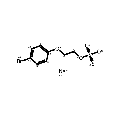 O=S([O-])(=S)OCCOc1ccc(Br)cc1.[Na+]